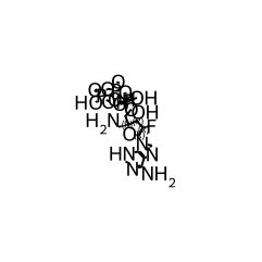 NC[C@]1(COP(=O)(O)OP(=O)(O)OP(=O)(O)O)O[C@@H](n2cnc3c2NCN=C3N)[C@H](F)[C@@H]1O